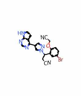 N#CCOc1ccc(Br)cc1C(CC#N)n1cc(-c2ncnc3[nH]ccc23)cn1